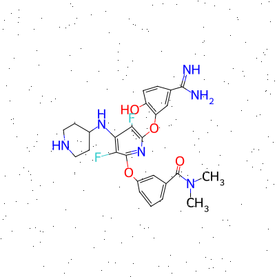 CN(C)C(=O)c1cccc(Oc2nc(Oc3cc(C(=N)N)ccc3O)c(F)c(NC3CCNCC3)c2F)c1